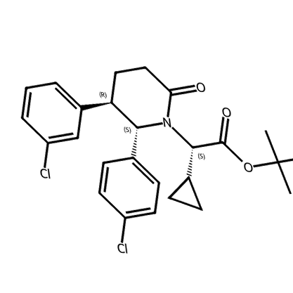 CC(C)(C)OC(=O)[C@H](C1CC1)N1C(=O)CC[C@H](c2cccc(Cl)c2)[C@H]1c1ccc(Cl)cc1